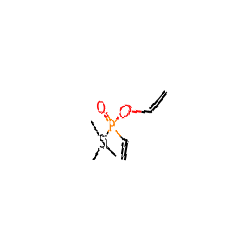 C=COP(=O)(C=C)[Si](C)(C)C